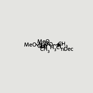 CCCCCCCCCCCC[N+](C)(C)CCCCOCC(C)(COC)COCC(C)(CC)COCCOC